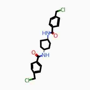 O=C(N[C@H]1CC[C@H](NC(=O)c2ccc(CCl)cc2)CC1)c1ccc(CCl)cc1